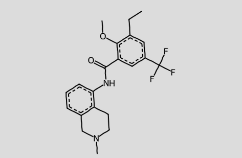 CCc1cc(C(F)(F)F)cc(C(=O)Nc2cccc3c2CCN(C)C3)c1OC